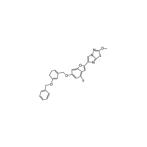 COc1nn2cc(-c3cc4c(F)cc(OCC5=CCCC(OCc6ccccc6)=C5)cc4o3)nc2s1